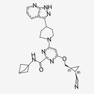 N#C[C@@H]1C[C@@H]1COc1cc(N2CCC(c3n[nH]c4ncccc34)CC2)nc(C(=O)NC23CC(C2)C3)n1